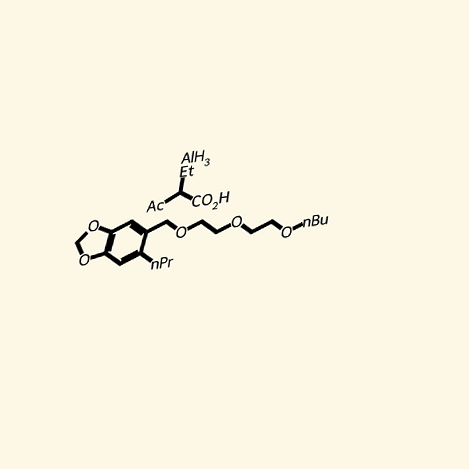 CCC(C(C)=O)C(=O)O.CCCCOCCOCCOCc1cc2c(cc1CCC)OCO2.[AlH3]